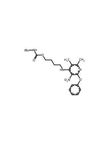 Cc1nc(Oc2ccccc2)c([N+](=O)[O-])c(NCCCCOC(=O)NC(C)(C)C)c1C